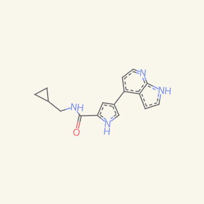 O=C(NCC1CC1)c1cc(-c2ccnc3[nH]ccc23)c[nH]1